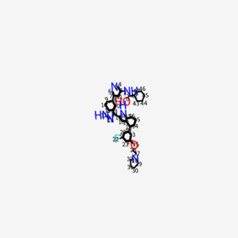 OC(Nc1cncc(-c2ccc3[nH]nc(-c4cc5c(-c6cc(F)cc(OCCN7CCCC7)c6)cccc5[nH]4)c3c2)c1)C1CCCCC1